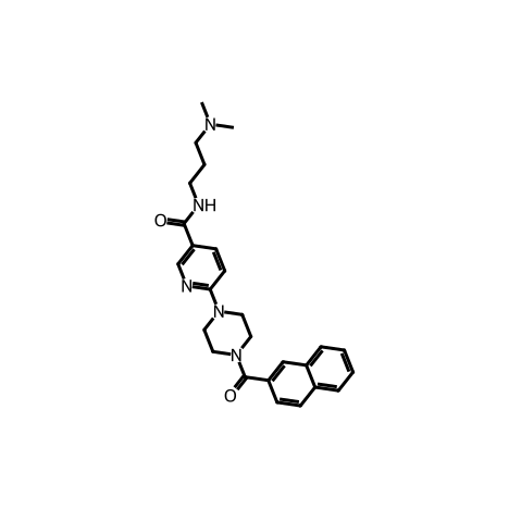 CN(C)CCCNC(=O)c1ccc(N2CCN(C(=O)c3ccc4ccccc4c3)CC2)nc1